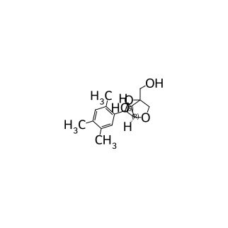 Cc1cc(C)c(C2OC3(CO)CO[C@@H]2[C@@H]3O)cc1C